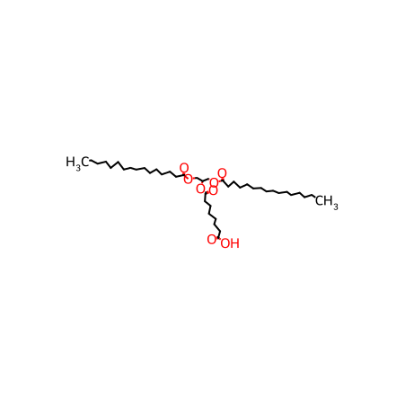 CCCCCCCCCCCCCCCC(=O)OCC(COC(=O)CCCCCCCCCCCCCCC)OC(=O)CCCCCCC(=O)O